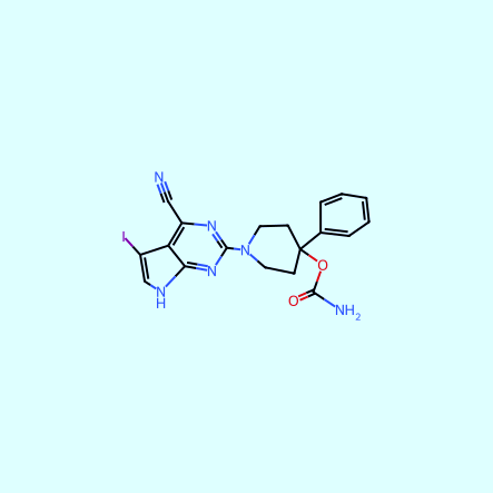 N#Cc1nc(N2CCC(OC(N)=O)(c3ccccc3)CC2)nc2[nH]cc(I)c12